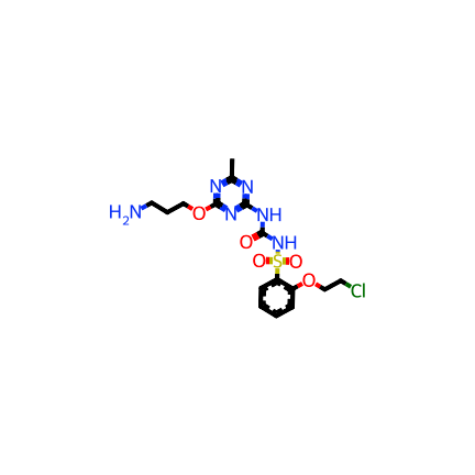 Cc1nc(NC(=O)NS(=O)(=O)c2ccccc2OCCCl)nc(OCCCN)n1